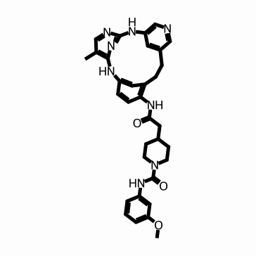 COc1cccc(NC(=O)N2CCC(CC(=O)Nc3ccc4cc3CCc3cncc(c3)Nc3ncc(C)c(n3)N4)CC2)c1